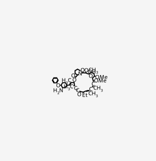 CCC1/C=C(\C)CC(C)CC(OC)C2OC(O)(C(=O)C(=O)N3CCCCC3C(=O)OC(C(C)=CC3CCC(Oc4ccccc4)C(N)C3)C(C)CCC1=O)C(C)CC2OC